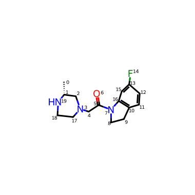 C[C@@H]1CN(CC(=O)N2CCc3ccc(F)cc32)CCN1